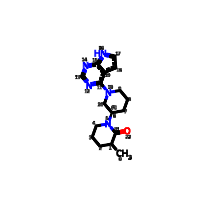 CC1CCCN([C@@H]2CCCN(c3ncnc4[nH]ccc34)C2)C1=O